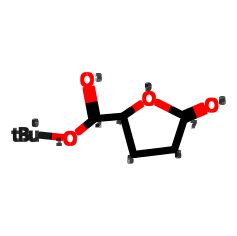 CC(C)(C)OC(=O)C1CCC(=O)O1